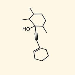 CC1CCC(C)C(O)(C#CC2=CCCCC2)C1C